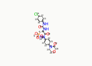 COP(=O)(C[C@H](NC(=O)NC1=CCC(Cl)C=C1)C(=O)NC1=CCC(N2CCOCC2=O)C=C1)OC